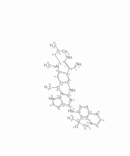 CN/C=C(\C=N)c1cc(Nc2nc(Nc3ccc4nccnc4c3P(C)(C)=O)c3cc[nH]c3n2)c(OC)cc1N(C)CCOC